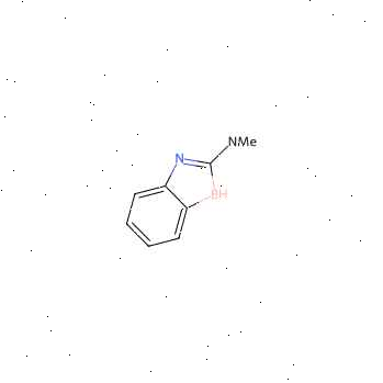 CNC1=Nc2ccccc2B1